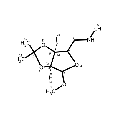 CNCC1OC(OC)[C@H]2OC(C)(C)O[C@@H]12